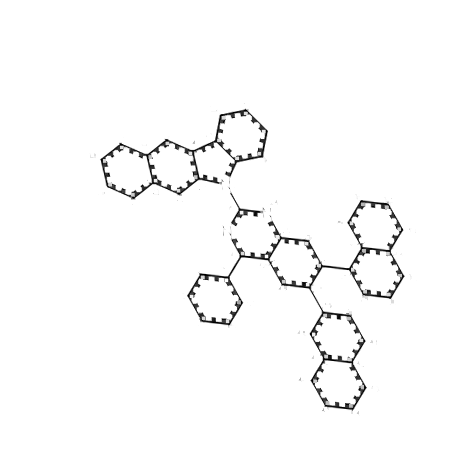 c1ccc(-c2nc(-n3c4ccccc4c4cc5ccccc5cc43)nc3cc(-c4cccc5ccccc45)c(-c4ccc5ccccc5c4)cc23)cc1